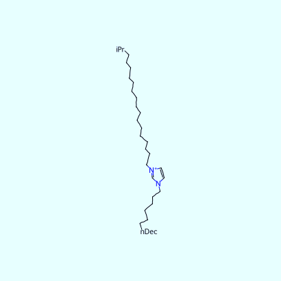 CCCCCCCCCCCCCCCCn1cc[n+](CCCCCCCCCCCCCCCCC(C)C)c1